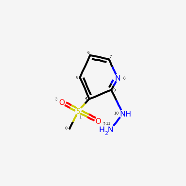 CS(=O)(=O)c1cccnc1NN